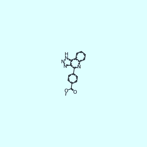 COC(=O)c1ccc(-c2nc3ccccc3c3[nH]nnc23)cc1